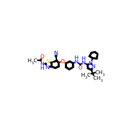 CC(=O)Nc1nc2ccc(Oc3cccc(NC(=O)Nc4cc(C(C)(C)C)nn4-c4ccccc4)c3)c(C#N)c2s1